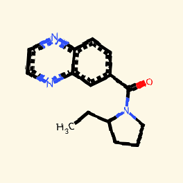 CCC1CCCN1C(=O)c1ccc2nccnc2c1